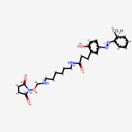 O=C(CCc1cc(/N=N/c2ccccc2C(=O)O)ccc1O)NCCCCCCNCON1C(=O)CCC1=O